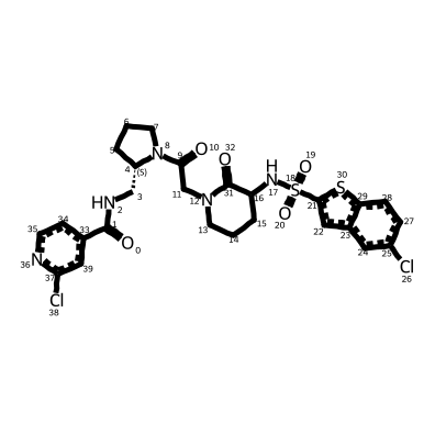 O=C(NC[C@@H]1CCCN1C(=O)CN1CCCC(NS(=O)(=O)c2cc3cc(Cl)ccc3s2)C1=O)c1ccnc(Cl)c1